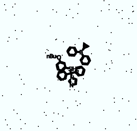 CCCCOc1cccc([SiH2]C(c2ccccc2)(c2ccccc2)n2ccnc2)c1.c1ccc(B(c2ccccc2)C2CC2)cc1